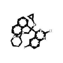 Clc1nc(C(COC2CCCCO2)(OC2CC2)c2cccc3ccccc23)c2cc(I)ccc2n1